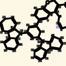 C=CC1=C(C/C=C\C)c2cc(C3=CC(n4c5c(c6ccccc64)C=CCC=C5)=CC(n4c5ccccc5c5ccccc54)C3)ccc2OC1